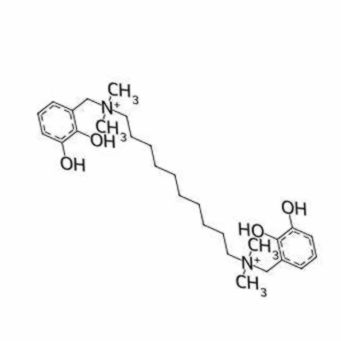 C[N+](C)(CCCCCCCCCC[N+](C)(C)Cc1cccc(O)c1O)Cc1cccc(O)c1O